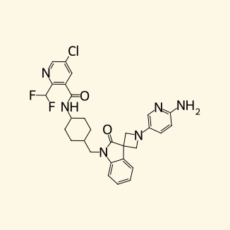 Nc1ccc(N2CC3(C2)C(=O)N(CC2CCC(NC(=O)c4cc(Cl)cnc4C(F)F)CC2)c2ccccc23)cn1